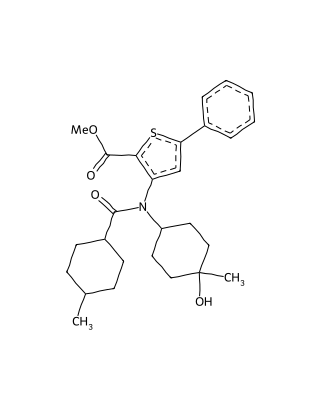 COC(=O)c1sc(-c2ccccc2)cc1N(C(=O)C1CCC(C)CC1)C1CCC(C)(O)CC1